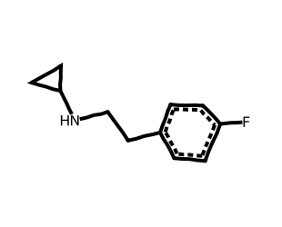 Fc1ccc(CCNC2CC2)cc1